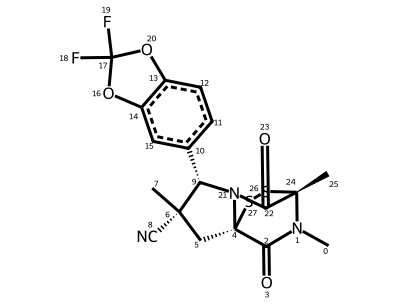 CN1C(=O)[C@@]23C[C@](C)(C#N)[C@H](c4ccc5c(c4)OC(F)(F)O5)N2C(=O)[C@]1(C)SS3